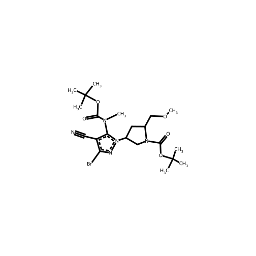 COCC1CC(n2nc(Br)c(C#N)c2N(C)C(=O)OC(C)(C)C)CN1C(=O)OC(C)(C)C